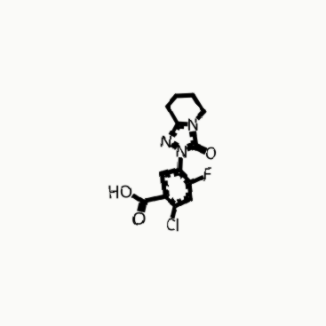 O=C(O)c1cc(-n2nc3n(c2=O)CCCC3)c(F)cc1Cl